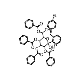 CCc1ccc(Cc2cccnc2[C@@]2(O)O[C@H]([C@H](C)OC(=O)c3ccccc3)[C@@H](OC(=O)c3ccccc3)[C@H](OC(=O)c3ccccc3)[C@H]2OC(=O)c2ccccc2)cc1